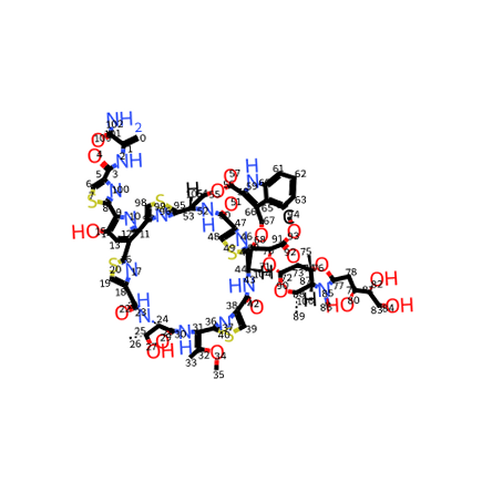 C=C(NC(=O)c1csc(-c2nc3c(cc2O)-c2nc(cs2)C(=O)N[C@@H]([C@@H](C)O)C(=O)N/C(=C(\C)OC)c2nc(cs2)C(=O)N[C@@H]2c4nc(cs4)C(=O)N[C@@H](COC(=O)c4[nH]c5cccc6c5c4COC2[C@H](O[C@H]2C[C@]4(C)OC(C[C@H](O)[C@H](O)CO)N(C)[C@@H]4[C@H](C)O2)C(=O)OC6)c2nc-3cs2)n1)C(N)=O